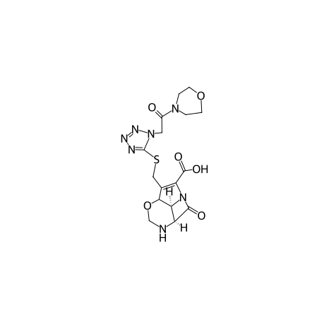 O=C(O)C1=C(CSc2nnnn2CC(=O)N2CCOCC2)C2OCN[C@@H]3C(=O)N1[C@H]23